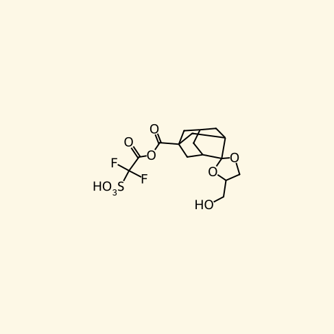 O=C(OC(=O)C(F)(F)S(=O)(=O)O)C12CC3CC(C1)C1(OCC(CO)O1)C(C3)C2